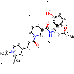 COC(=O)C[C@H](NC(=O)[C@@H]1CCCN(C(=O)CCC2CCN(C(=O)O)C(C(C)(C)C)C2)C1)c1cccc(O)c1